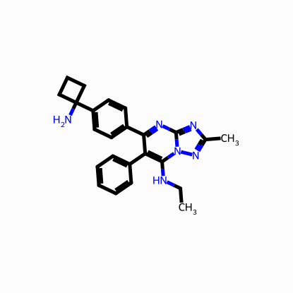 CCNc1c(-c2ccccc2)c(-c2ccc(C3(N)CCC3)cc2)nc2nc(C)nn12